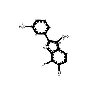 Cc1cccc(-c2[nH]c3c(F)c(Cl)ccc3c2C=O)c1